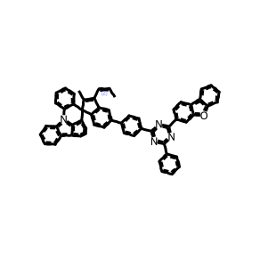 C/C=C\C1=C(C)C2(c3ccc(-c4ccc(-c5nc(-c6ccccc6)nc(-c6ccc7c(c6)oc6ccccc67)n5)cc4)cc31)c1ccccc1-n1c3ccccc3c3cccc2c31